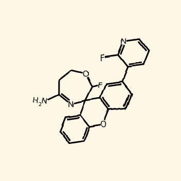 NC1=NC2(c3ccccc3Oc3ccc(-c4cccnc4F)cc32)C(F)OCC1